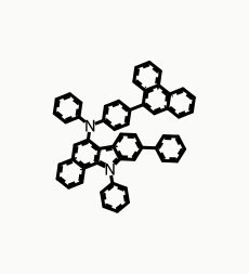 c1ccc(-c2ccc3c4c(N(c5ccccc5)c5ccc(-c6cc7ccccc7c7ccccc67)cc5)cc5ccccc5c4n(-c4ccccc4)c3c2)cc1